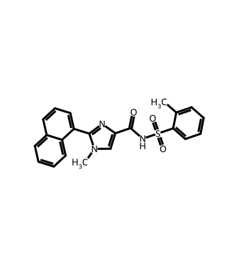 Cc1ccccc1S(=O)(=O)NC(=O)c1cn(C)c(-c2cccc3ccccc23)n1